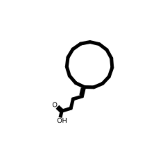 O=C(O)CCC=C1CCCCCCCCCCCCCC1